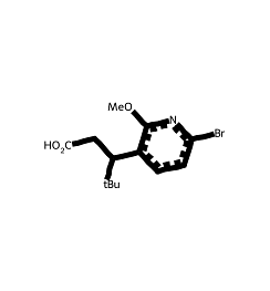 COc1nc(Br)ccc1C(CC(=O)O)C(C)(C)C